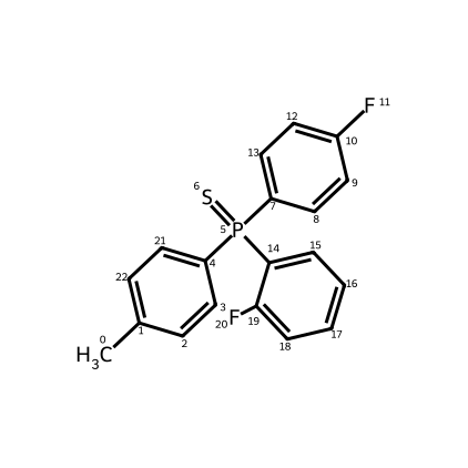 Cc1ccc(P(=S)(c2ccc(F)cc2)c2ccccc2F)cc1